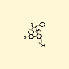 COc1ccc(CC(=O)O)cc1-c1ccc(Cl)c2c1CN(C(=O)OCc1ccccc1)CC2